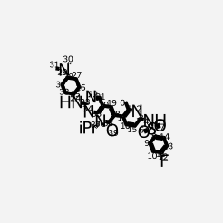 Cc1nc(NS(=O)(=O)c2ccc(F)cc2)ccc1-c1cc2cnc(N[C@H]3CC[C@H](N(C)C)CC3)nc2n(C(C)C)c1=O